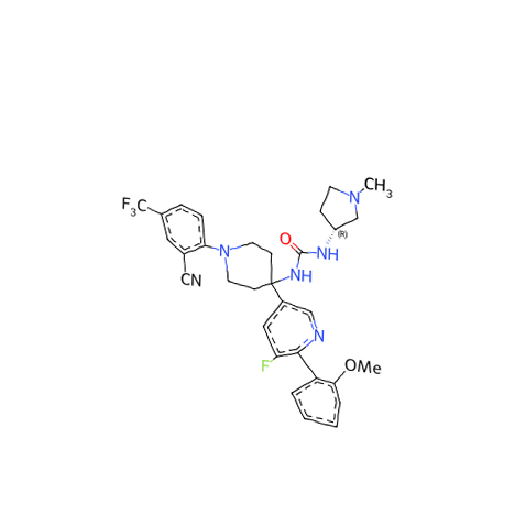 COc1ccccc1-c1ncc(C2(NC(=O)N[C@@H]3CCN(C)C3)CCN(c3ccc(C(F)(F)F)cc3C#N)CC2)cc1F